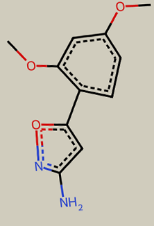 COc1ccc(-c2cc(N)no2)c(OC)c1